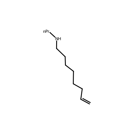 C=CCCCCCCNCCC